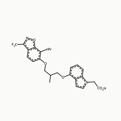 CCCc1c(OCC(C)COc2cccc3c2ccn3CC(=O)O)ccc2c(C(F)(F)F)noc12